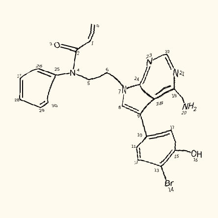 C=CC(=O)N(CCn1cc(-c2ccc(Br)c(O)c2)c2c(N)ncnc21)c1ccccc1